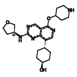 O[C@H]1CC[C@H](c2cnc(OC3CCNCC3)c3cnc(N[C@H]4CCOC4)nc32)CC1